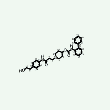 O=C(CCN1CCC(OC(=O)Nc2ccccc2-c2ccccc2)CC1)Nc1ccc(CCO)cc1